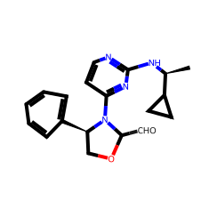 C[C@H](Nc1nccc(N2C(C=O)OC[C@H]2c2ccccc2)n1)C1CC1